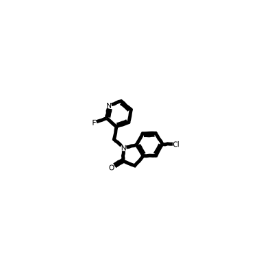 O=C1Cc2cc(Cl)ccc2N1Cc1cccnc1F